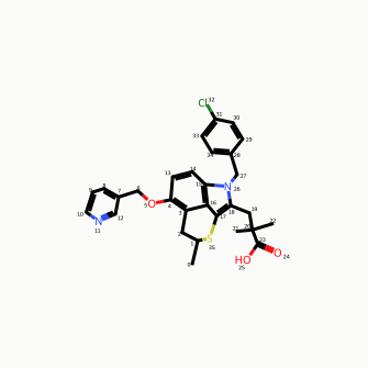 CC1Cc2c(OCc3cccnc3)ccc3c2c(c(CC(C)(C)C(=O)O)n3Cc2ccc(Cl)cc2)S1